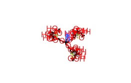 CC(=O)C(O)[C@@H]1S[C@H](CCCOCC(CN=[N+]=[N-])(COCCC[C@H]2S[C@@H](C(O)C(C)=O)[C@](O)(C(C)=O)[C@@](O)(C(C)=O)[C@@]2(O)C(C)=O)COCCC[C@H]2S[C@@H](C(O)C(C)=O)[C@](O)(C(C)=O)[C@@](O)(C(C)=O)[C@]2(O)C(C)=O)[C@](O)(C(C)=O)[C@](O)(C(C)=O)[C@@]1(O)C(C)=O